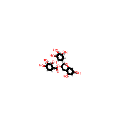 O=C(O[C@@H]1Cc2c(O)cc(O)cc2O[C@H]1c1cc(O)c(O)c(O)c1)c1ccc(O)c(O)c1O